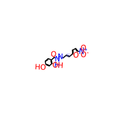 O=C(N/N=C/C=C/c1ccc([N+](=O)[O-])o1)c1ccc(O)cc1O